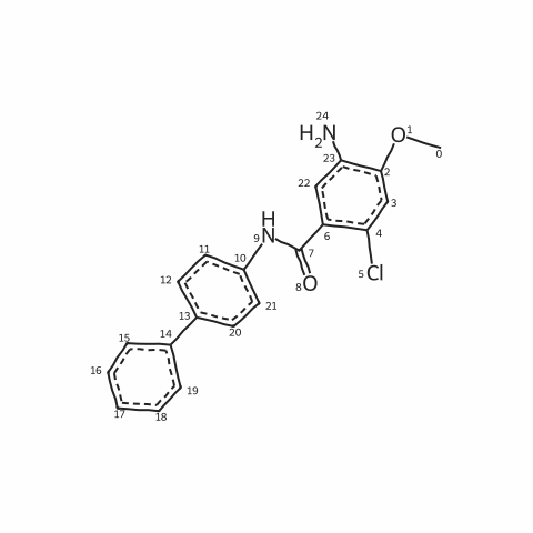 COc1cc(Cl)c(C(=O)Nc2ccc(-c3ccccc3)cc2)cc1N